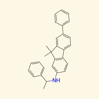 CC(Nc1ccc2c(c1)C(C)(C)c1cc(-c3ccccc3)ccc1-2)c1ccccc1